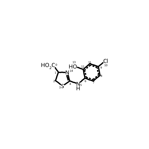 O=C(O)C1CSC(Nc2ccc(Cl)cc2O)=N1